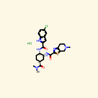 CC(C)N(C)C(=O)[C@H]1CC[C@H](NC(=O)c2cc3cc(Cl)ccc3[nH]2)[C@H](NC(=O)c2nc3c(s2)CN(C)CC3)C1.Cl